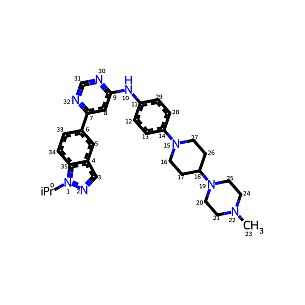 CC(C)n1ncc2cc(-c3cc(Nc4ccc(N5CCC(N6CCN(C)CC6)CC5)cc4)ncn3)ccc21